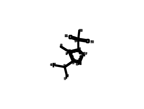 Cn1c(C(F)F)nnc1S(C)(=O)=O